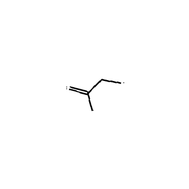 [C]=C(C)C[CH2]